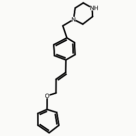 C(=Cc1ccc(CN2CCNCC2)cc1)COc1ccccc1